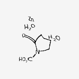 O.O.O=C(O)N1CCCC1=O.[Zn]